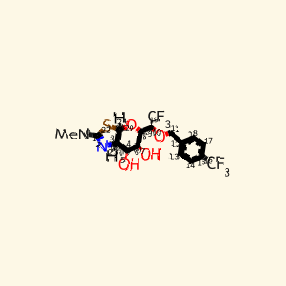 CNC1=N[C@@H]2[C@@H](O)[C@H](O)C([C@@H](OCc3ccc(C(F)(F)F)cc3)C(F)(F)F)O[C@@H]2S1